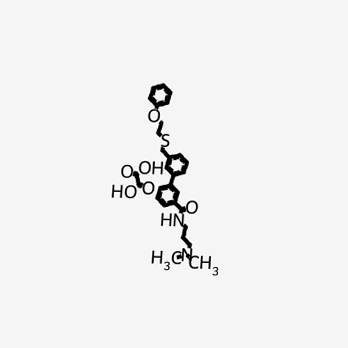 CN(C)CCCNC(=O)c1cccc(-c2cccc(CSCCOc3ccccc3)c2)c1.O=C(O)C(=O)O